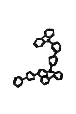 c1ccc(-c2ccc(-c3ccc(N(c4ccc(-c5cccc(-n6c7ccccc7c7ccccc76)c5)cc4)c4ccccc4-c4ccccc4)cc3)cc2)cc1